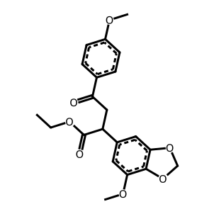 CCOC(=O)C(CC(=O)c1ccc(OC)cc1)c1cc(OC)c2c(c1)OCO2